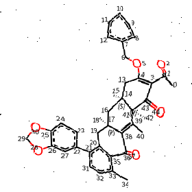 CC(=O)C1=C(OCc2ccccc2)C[C@]2(C)C[C@]3(C)Cc4c(-c5ccc6c(c5)OCO6)ccc(C)c4C(=O)C3=C(C)[C@]2(C)C1=O